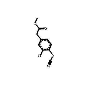 COC(=O)Cc1ccc(SC#N)c(Cl)c1